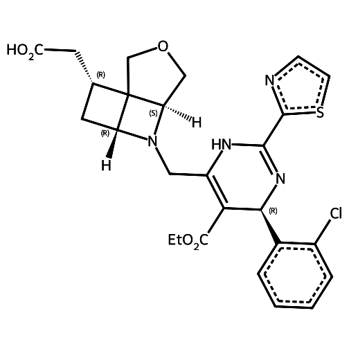 CCOC(=O)C1=C(CN2[C@@H]3COCC34[C@@H](CC(=O)O)C[C@@H]24)NC(c2nccs2)=N[C@H]1c1ccccc1Cl